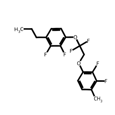 CCCc1ccc(OC(F)(F)COc2ccc(C)c(F)c2F)c(F)c1F